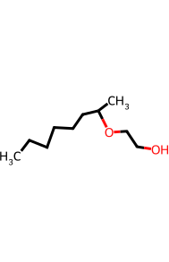 CCCCCCC(C)OCCO